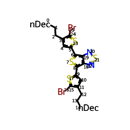 CCCCCCCCCCCCc1cc(-c2sc(-c3cc(CCCCCCCCCCCC)c(Br)s3)c3c2N=S=N3)sc1Br